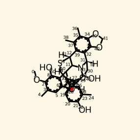 COc1c(C)cc2c(c1O)[C@H]1C3[C@@H]4SC[C@]5(NCCc6cc(O)c(C)cc65)C(=O)OC[C@@H](c5c6c(c(C)c(C)c54)OCO6)N3[C@@H](O)[C@@H](C2)N1C